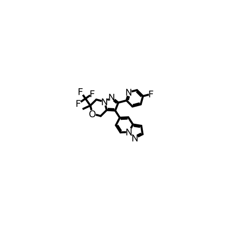 CC1(C(F)(F)F)Cn2nc(-c3ccc(F)cn3)c(-c3ccn4nccc4c3)c2CO1